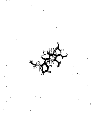 CC/C=C(C(=N)CC)/C(NC(C)C)=C(Cl)\C=C(/C)c1cccnc1OCC